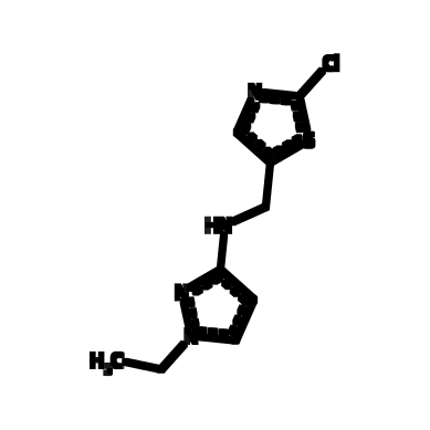 CCn1ccc(NCc2cnc(Cl)s2)n1